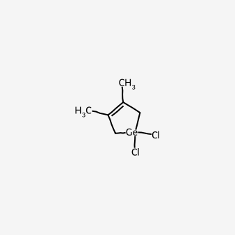 CC1=C(C)[CH2][Ge]([Cl])([Cl])[CH2]1